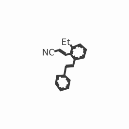 CCc1cccc(C=Cc2ccccc2)c1C=CC#N